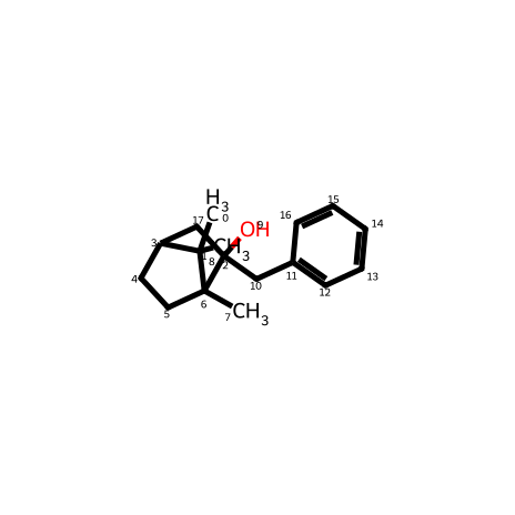 CC1(C)C2CCC1(C)C(O)(Cc1ccccc1)C2